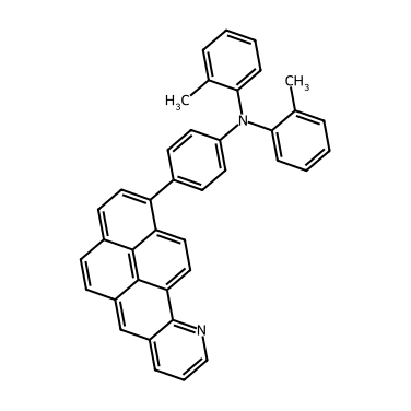 Cc1ccccc1N(c1ccc(-c2ccc3ccc4cc5cccnc5c5ccc2c3c45)cc1)c1ccccc1C